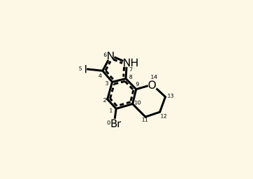 Brc1cc2c(I)n[nH]c2c2c1CCCO2